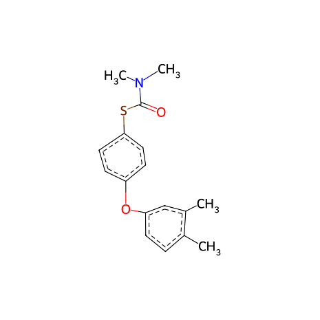 Cc1ccc(Oc2ccc(SC(=O)N(C)C)cc2)cc1C